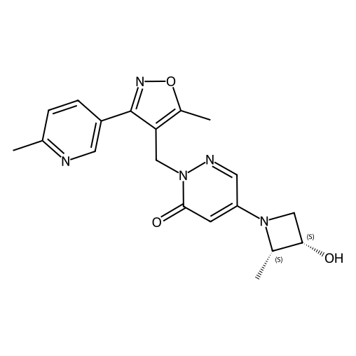 Cc1ccc(-c2noc(C)c2Cn2ncc(N3C[C@H](O)[C@@H]3C)cc2=O)cn1